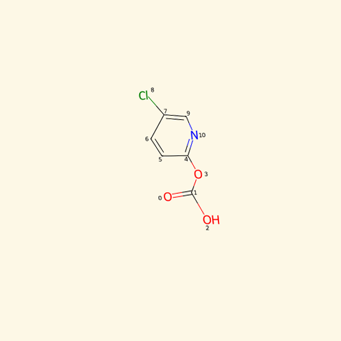 O=C(O)Oc1ccc(Cl)cn1